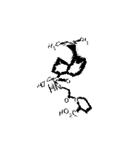 CN(C)c1cccc2c(S(=O)(=O)NCC(=O)N3CCCC3C(=O)O)cccc12.Cl